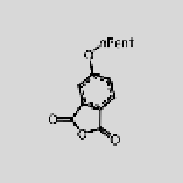 CCCCCOc1ccc2c(c1)C(=O)OC2=O